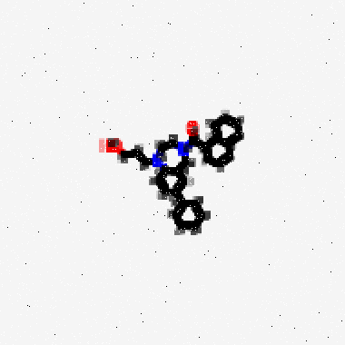 O=C(c1cccc2ccccc12)N1CCN(CCCO)c2ccc(-c3ccccc3)cc2C1